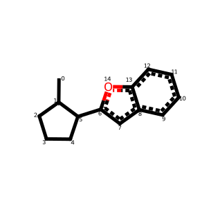 C[C]1CCCC1c1cc2ccccc2o1